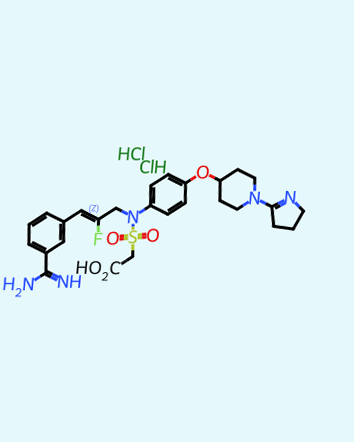 Cl.Cl.N=C(N)c1cccc(/C=C(\F)CN(c2ccc(OC3CCN(C4=NCCC4)CC3)cc2)S(=O)(=O)CC(=O)O)c1